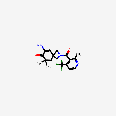 Cc1nccc(C(F)(F)F)c1C(=O)N1CC2(C=C(N)C(=O)C(C)(C)C2)C1